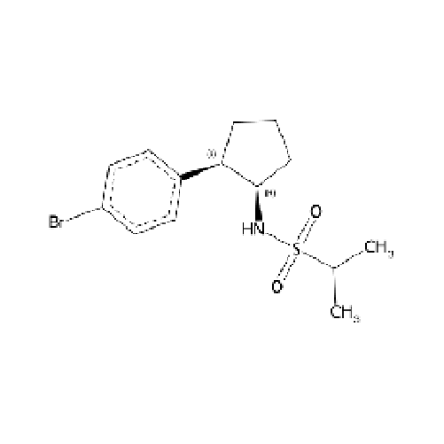 CC(C)S(=O)(=O)N[C@@H]1CCC[C@@H]1c1ccc(Br)cc1